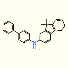 CC1(C)C2=C(CCC=C2)C2=C1CC(Nc1ccc(-c3ccccc3)cc1)C=C2